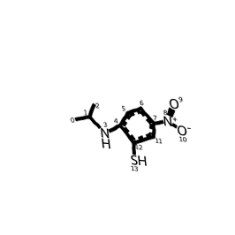 CC(C)Nc1ccc([N+](=O)[O-])cc1S